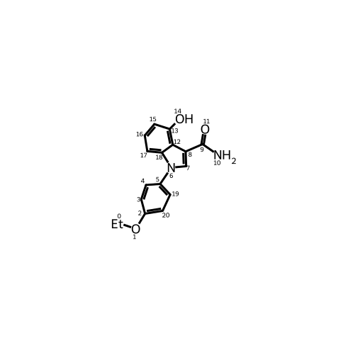 CCOc1ccc(-n2cc(C(N)=O)c3c(O)cccc32)cc1